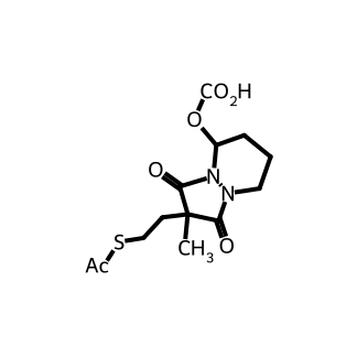 CC(=O)SCCC1(C)C(=O)N2CCCC(OC(=O)O)N2C1=O